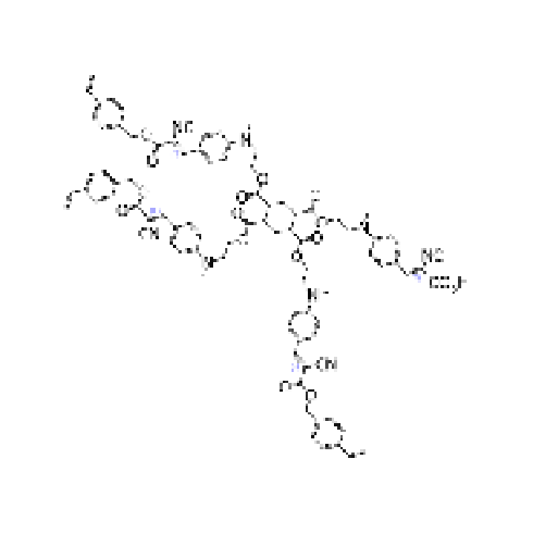 [C-]#[N+]/C(=C\c1ccc(N(C)CCOC(=O)C2CC(C(=O)OCCN(C)c3ccc(/C=C(\[N+]#[C-])C(=O)OCc4ccc(C=C)cc4)cc3)C(C(=O)OCCN(C)c3ccc(/C=C(\C#N)C(=O)OCc4ccc(C=C)cc4)cc3)CC2C(=O)OCCN(C)c2ccc(/C=C(\C#N)C(=O)OCc3ccc(C=C)cc3)cc2)cc1)C(=O)O